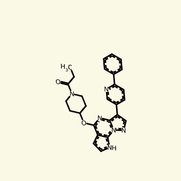 CCC(=O)N1CCC(Oc2nc3c(-c4ccc(-c5ccccc5)nc4)cnn3c3[nH]ccc23)CC1